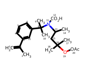 C=C(C)c1cccc(C(C)(C)N(C(=O)O)C(C)CC(C)(C)OOC(C)=O)c1